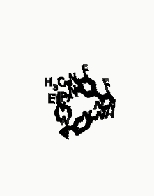 CCN1CCN(C2(c3ccc(Nc4ncc(F)c(-c5cc(F)c6nc(C)n(C(C)C)c6c5)n4)nc3)CC2)CC1